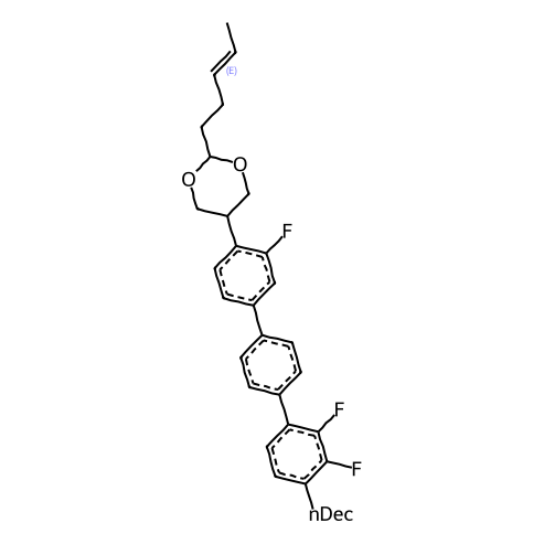 C/C=C/CCC1OCC(c2ccc(-c3ccc(-c4ccc(CCCCCCCCCC)c(F)c4F)cc3)cc2F)CO1